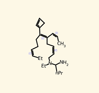 C/C=C\C(C/C=C\CN(CC)C(N)CCC)=C(\CC/C=C\CC)C1=C=CC1